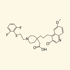 COc1ccc2ncc(Cl)c(CCCC3(CC(=O)O)CCN(CCSc4c(F)cccc4F)CC3)c2c1